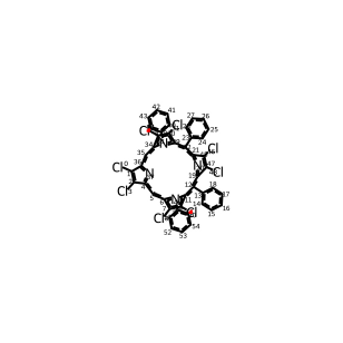 ClC1=C(Cl)c2cc3c(Cl)c(Cl)c(c(-c4ccccc4)c4nc(c(-c5ccccc5)c5c(Cl)c(Cl)c(cc1n2)n5-c1ccccc1)C(Cl)=C4Cl)n3-c1ccccc1